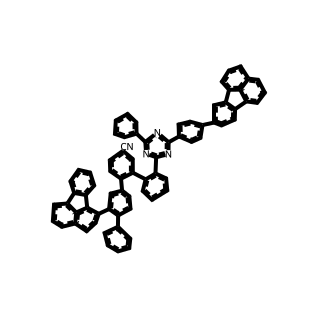 N#Cc1ccc(-c2ccc(-c3ccccc3)c(-c3ccc4cccc5c4c3-c3ccccc3-5)c2)c(-c2ccccc2-c2nc(-c3ccccc3)nc(-c3ccc(-c4ccc5c(c4)-c4cccc6cccc-5c46)cc3)n2)c1